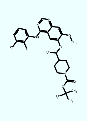 COc1cc2ncnc(Nc3cccc(Cl)c3F)c2cc1OC(C)C1CCN(C(=O)OC(C)(C)C)CC1